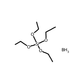 B.CCO[Si](OCC)(OCC)OCC